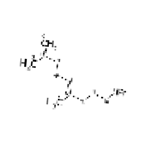 C=C(C)CCC=C(C)CCCC(C)C